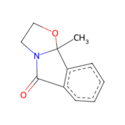 CC12OCCN1C(=O)c1ccccc12